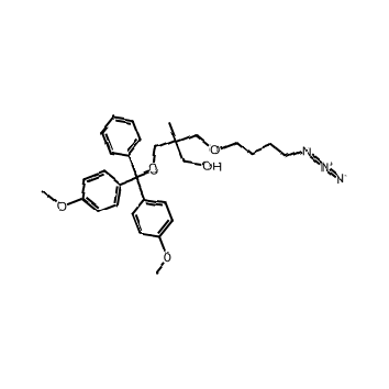 COc1ccc(C(OCC(C)(CO)COCCCCN=[N+]=[N-])(c2ccccc2)c2ccc(OC)cc2)cc1